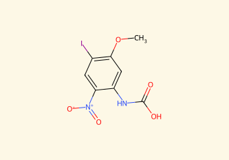 COc1cc(NC(=O)O)c([N+](=O)[O-])cc1I